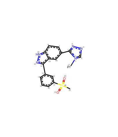 CC(C)n1cnnc1-c1ccc2[nH]nc(-c3cccc(S(C)(=O)=O)c3)c2c1